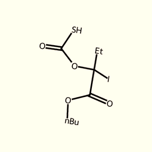 CCCCOC(=O)C(I)(CC)OC(=O)S